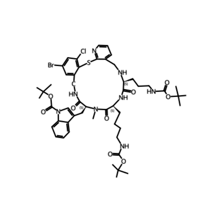 CN1C(=O)[C@H](CCCCNC(=O)OC(C)(C)C)NC(=O)[C@H](CCCNC(=O)OC(C)(C)C)NCc2cccnc2Sc2c(Cl)cc(Br)cc2CNC(=O)[C@@H]1Cc1cn(C(=O)OC(C)(C)C)c2ccccc12